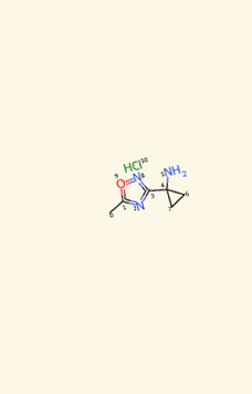 Cc1nc(C2(N)CC2)no1.Cl